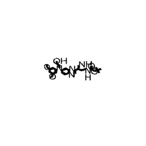 COc1cc(OC)cc(N(CCO)c2ccc3ncc(C(CN)CCNC(=O)OC(C)(C)C)nc3c2)c1